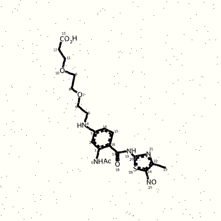 CC(=O)Nc1cc(NCCOCCOCCC(=O)O)ccc1C(=O)Nc1nc(C)c(N=O)s1